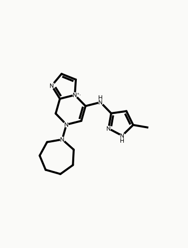 Cc1cc(NC2=CN(N3CCCCCC3)CC3=NC=C[N+]23)n[nH]1